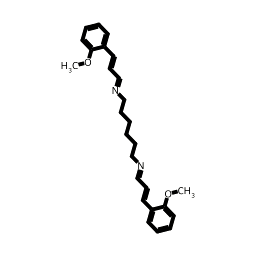 COc1ccccc1/C=C/C=N/CCCCCC/N=C/C=C/c1ccccc1OC